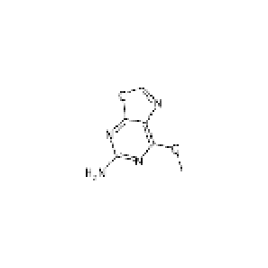 COc1nc(N)nc2ocnc12